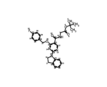 CC(C)(C)OC(=O)CNC(=O)c1cnc(N2CCc3ccccc32)nc1OCc1ccc(F)cc1